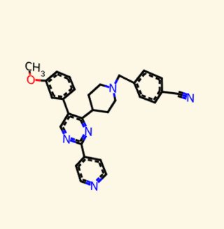 COc1cccc(-c2cnc(-c3ccncc3)nc2C2CCN(Cc3ccc(C#N)cc3)CC2)c1